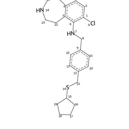 Clc1ccc2c(c1NCc1ccc(CSC3CCCC3)cc1)CCNCC2